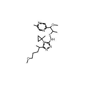 COCCCC(C)c1nnc(NSC(C)C(OC)c2cnc(C)cn2)n1C1(C)CC1